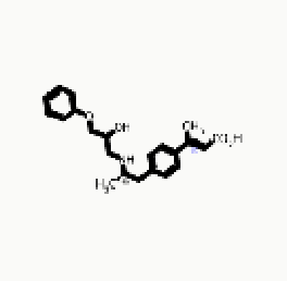 C/C(=C\C(=O)O)c1ccc(C[C@@H](C)NCC(O)COc2ccccc2)cc1